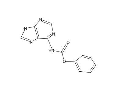 O=C(Nc1ncnc2c1N=C[N]2)Oc1ccccc1